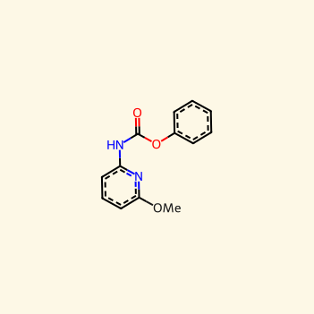 COc1cccc(NC(=O)Oc2ccccc2)n1